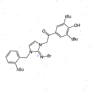 CCCCc1ccccc1Cn1ccn(CC(=O)c2cc(C(C)(C)C)c(O)c(C(C)(C)C)c2)/c1=N\Br